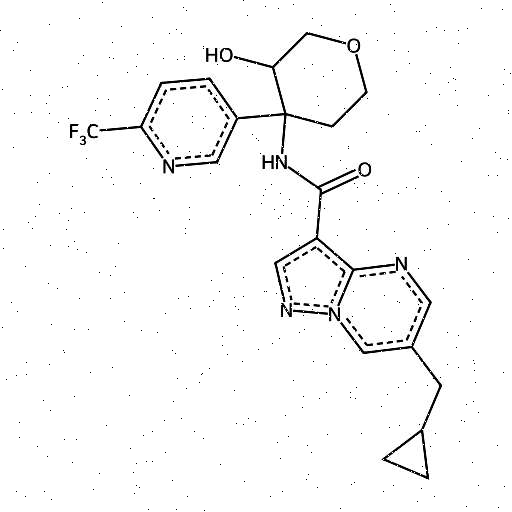 O=C(NC1(c2ccc(C(F)(F)F)nc2)CCOCC1O)c1cnn2cc(CC3CC3)cnc12